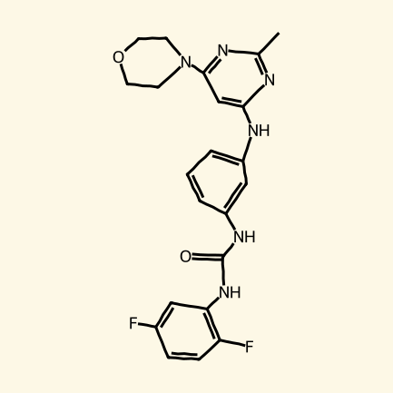 Cc1nc(Nc2cccc(NC(=O)Nc3cc(F)ccc3F)c2)cc(N2CCOCC2)n1